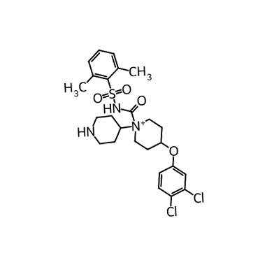 Cc1cccc(C)c1S(=O)(=O)NC(=O)[N+]1(C2CCNCC2)CCC(Oc2ccc(Cl)c(Cl)c2)CC1